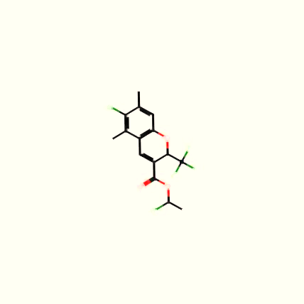 Cc1cc2c(c(C)c1Cl)C=C(C(=O)OC(C)Cl)C(C(F)(F)F)O2